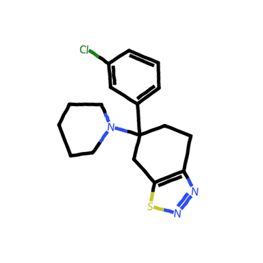 Clc1cccc(C2(N3CCCCC3)CCc3nnsc3C2)c1